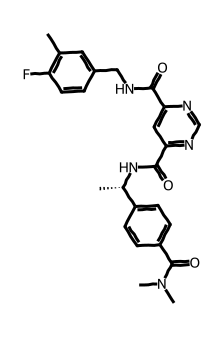 Cc1cc(CNC(=O)c2cc(C(=O)N[C@@H](C)c3ccc(C(=O)N(C)C)cc3)ncn2)ccc1F